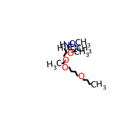 CCCCOCCCCOC(C)OCC(CN)O[Si](C)(C)C(C)(C)C